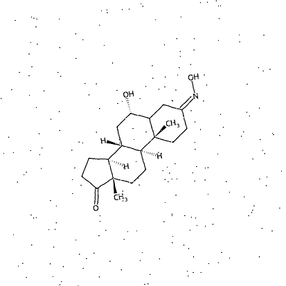 C[C@]12CC/C(=N/O)CC1[C@@H](O)C[C@@H]1[C@@H]2CC[C@]2(C)C(=O)CC[C@@H]12